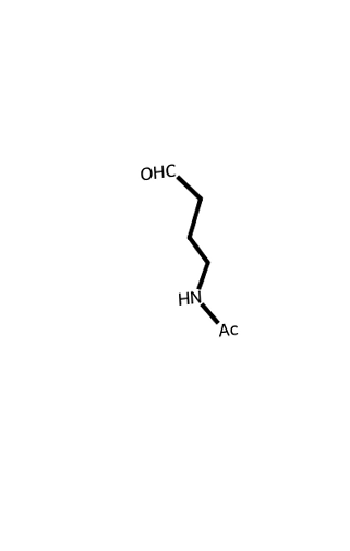 CC(=O)NCCCC=O